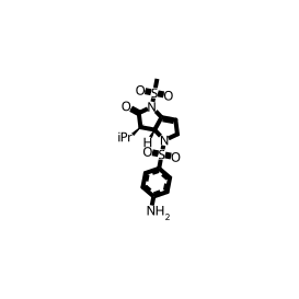 CC(C)[C@H]1C(=O)N(S(C)(=O)=O)C2=CCN(S(=O)(=O)c3ccc(N)cc3)[C@@H]21